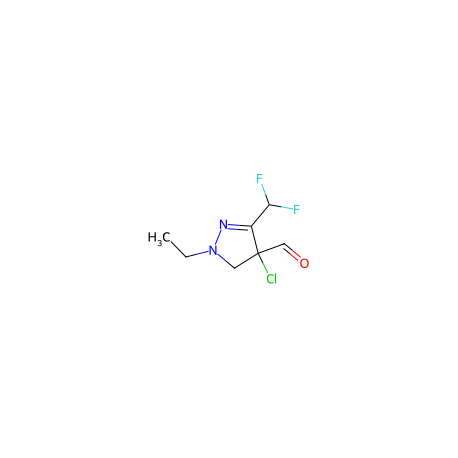 CCN1CC(Cl)(C=O)C(C(F)F)=N1